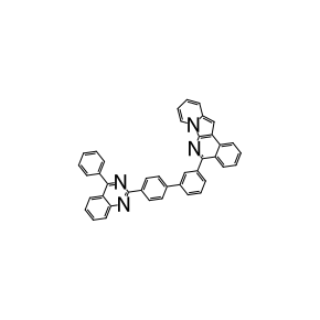 c1ccc(-c2nc(-c3ccc(-c4cccc(-c5nc6c(cc7ccccn76)c6ccccc56)c4)cc3)nc3ccccc23)cc1